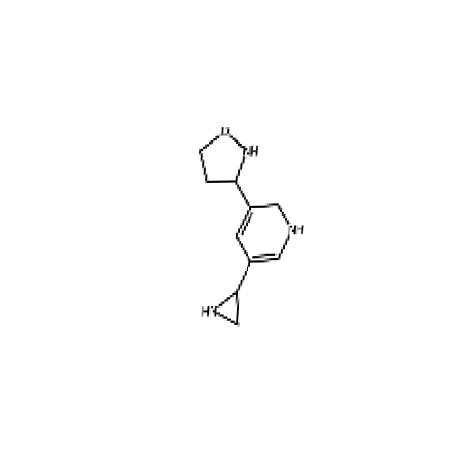 C1=C(C2CN2)C=C(C2CCON2)CN1